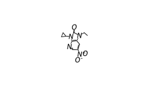 CCn1c(=O)n(C2CC2)c2ncc([N+](=O)[O-])cc21